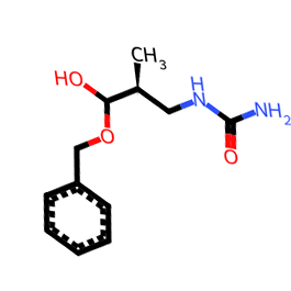 C[C@@H](CNC(N)=O)C(O)OCc1ccccc1